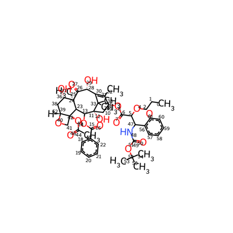 CCC(=O)OC(C(=O)OC1C[C@@]2(O)C(OC(=O)c3ccccc3)C3[C@](C)(C(=O)[C@H](O)C(=C1C)C2(C)C)[C@@H](O)C[C@H]1OC[C@@]31OC(C)=O)C(NC(=O)OC(C)(C)C)c1ccccc1